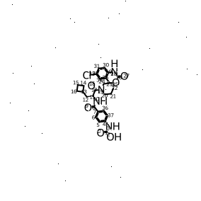 O=C(O)Nc1ccc(C(=O)N[C@@H](CC2CCC2)C(=O)N2CCC[C@@]3(C2)OC(=O)Nc2ccc(Cl)cc23)cc1